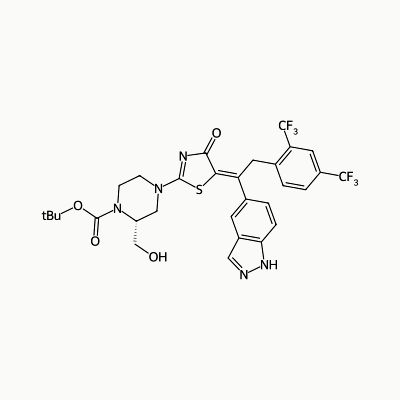 CC(C)(C)OC(=O)N1CCN(C2=NC(=O)C(=C(Cc3ccc(C(F)(F)F)cc3C(F)(F)F)c3ccc4[nH]ncc4c3)S2)C[C@@H]1CO